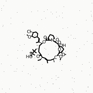 CC[C@@H]1/C=C(\C)C[C@H](C)C[C@H](OC)[C@H]2O[C@@](O)(C(=O)C(=O)N3CCCC[C@H]3C(=O)O[C@H](/C(C)=C/C3CC[C@H](Cl)[C@H](OC)C3)[C@@H](C)[C@@H](CC(C)(C)[Si](C)(C)O)CC1=O)[C@H](C)C[C@@H]2OC